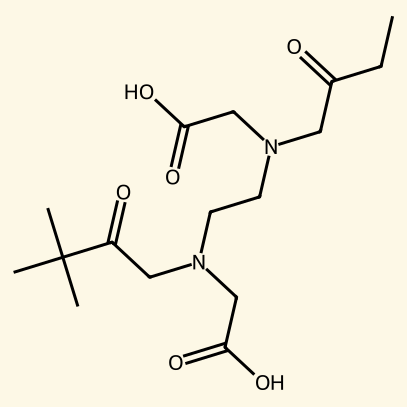 CCC(=O)CN(CCN(CC(=O)O)CC(=O)C(C)(C)C)CC(=O)O